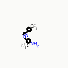 Cc1cc(Cn2ccc(-c3ccc(C(F)(F)F)cc3)n2)ccc1N